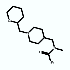 CC(C)C(=O)N(C)CC1CCN(CC2CCCCO2)CC1